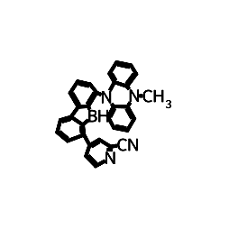 CN1c2ccccc2N(c2cccc3c2Bc2c(-c4ccnc(C#N)c4)cccc2-3)c2ccccc21